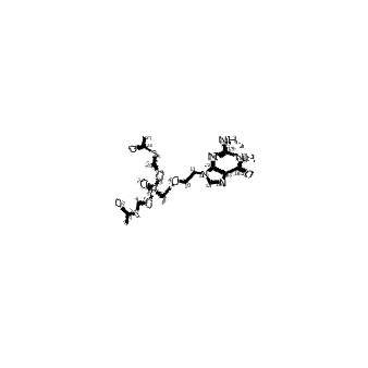 CC(=O)SCOP(=O)(COCCn1cnc2c(=O)[nH]c(N)nc21)OCSC(C)=O